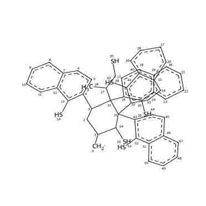 [CH2]C1CC(c2ccc3ccccc3c2S)C(c2ccc3ccccc3c2S)(C(C)[CH]S)C(c2ccc3ccccc3c2S)(c2ccc3ccccc3c2S)C1S